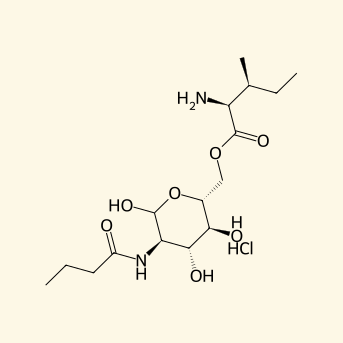 CCCC(=O)N[C@H]1C(O)O[C@H](COC(=O)[C@@H](N)[C@@H](C)CC)[C@@H](O)[C@@H]1O.Cl